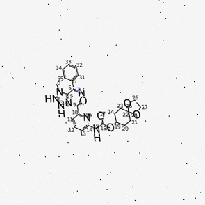 CN1NNN=C1/C(=N\OCc1cccc(NC(=O)OC2CCC3(CC2)OCCO3)n1)c1ccccc1